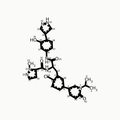 CC(C)n1cc(-c2ccc(Cl)c(CC(NC(=O)c3ccnn3C)C(=O)Nc3ccc(-c4cn[nH]c4)c(O)c3)c2)ccc1=O